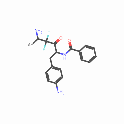 CC(=O)C(N)C(F)(F)C(=O)C(Cc1ccc(N)cc1)NC(=O)c1ccccc1